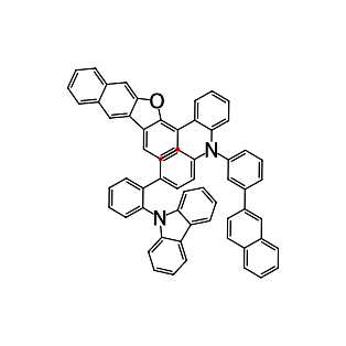 c1cc(-c2ccc3ccccc3c2)cc(N(c2ccc(-c3ccccc3-n3c4ccccc4c4ccccc43)cc2)c2ccccc2-c2cccc3c2oc2cc4ccccc4cc23)c1